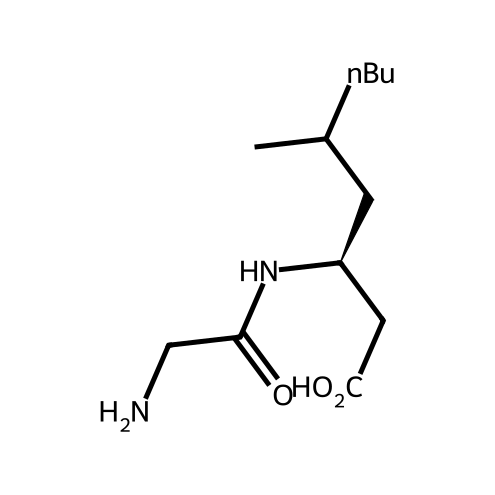 CCCCC(C)C[C@@H](CC(=O)O)NC(=O)CN